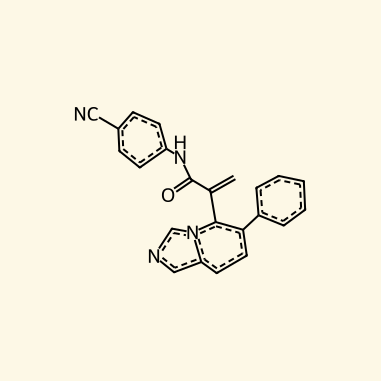 C=C(C(=O)Nc1ccc(C#N)cc1)c1c(-c2ccccc2)ccc2cncn12